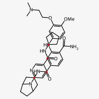 COc1ccc(Nc2cc(C(=O)NC3CC4CCC(C3)N4c3ccc(C(=O)NC4CCCC4)cn3)ccc2C(N)=O)cc1OCCN(C)C